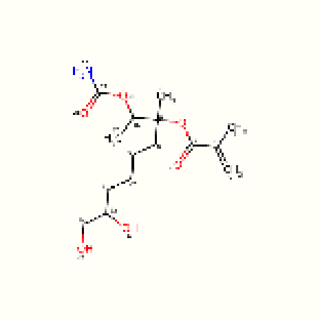 C=C(C)C(=O)OC(C)(CCCCC(O)CO)C(C)OC(N)=O